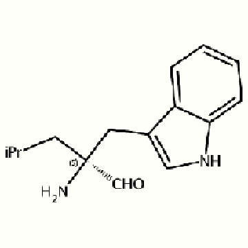 CC(C)C[C@@](N)(C=O)Cc1c[nH]c2ccccc12